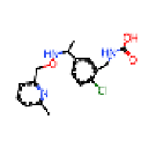 Cc1cccc(CONC(C)c2ccc(Cl)c(CNC(=O)O)c2)n1